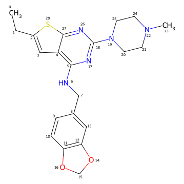 CCc1cc2c(NCc3ccc4c(c3)OCO4)nc(N3CCN(C)CC3)nc2s1